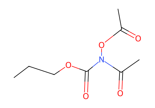 CCCOC(=O)N(OC(C)=O)C(C)=O